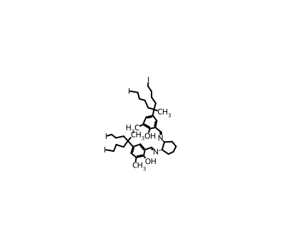 Cc1cc(C(C)(CCCI)CCCI)cc(/C=N/[C@H]2CCCC[C@@H]2/N=C/c2cc(C(C)(CCCCI)CCCCI)cc(C)c2O)c1O